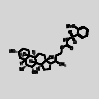 CC[C@H]1[C@@H](O)[C@@H]2[C@H](CC[C@]3(C)[C@@H]([C@H](C)CCOC(=O)NS(=O)(=O)c4ccccc4OC)CC[C@@H]23)[C@@]2(C)CC[C@@H](O)C[C@@H]12